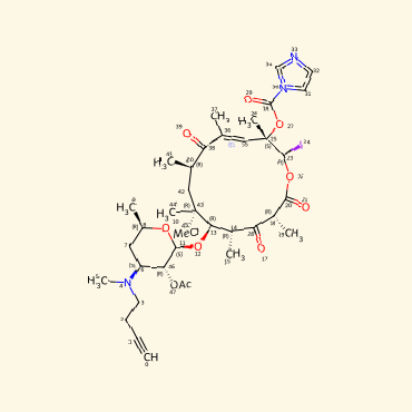 C#CCCN(C)[C@H]1C[C@@H](C)O[C@@H](O[C@@H]2[C@@H](C)C(=O)[C@@H](C)C(=O)O[C@H](I)[C@@](C)(OC(=O)n3ccnc3)/C=C(\C)C(=O)[C@H](C)C[C@@]2(C)OC)[C@@H]1OC(C)=O